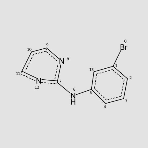 Brc1cccc(Nc2n[c]ccn2)c1